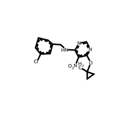 CC1(Oc2ncnc(NCc3cccc(Cl)c3)c2[N+](=O)[O-])CC1